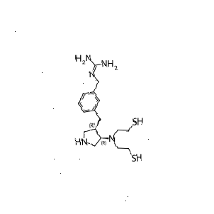 NC(N)=NCc1cccc(C[C@@H]2CNC[C@@H]2N(CCS)CCS)c1